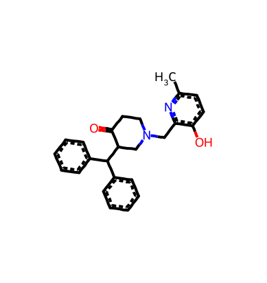 Cc1ccc(O)c(CN2CCC(=O)C(C(c3ccccc3)c3ccccc3)C2)n1